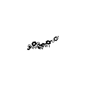 C=CC(=O)Nc1cccc(Oc2ncnc3[nH]c(-c4ccc(COC5CCN(C)CC5)cc4)cc23)c1